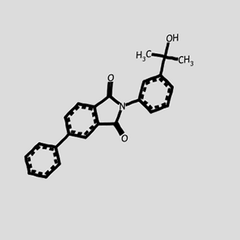 CC(C)(O)c1cccc(N2C(=O)c3ccc(-c4ccccc4)cc3C2=O)c1